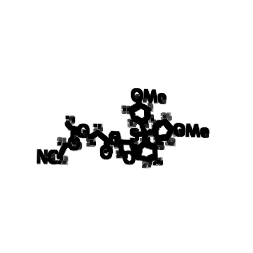 COc1ccc(C(SC2COC[C@@H]2OC(=O)CCOP(C)OCCC#N)(c2ccccc2)c2ccc(OC)cc2)cc1